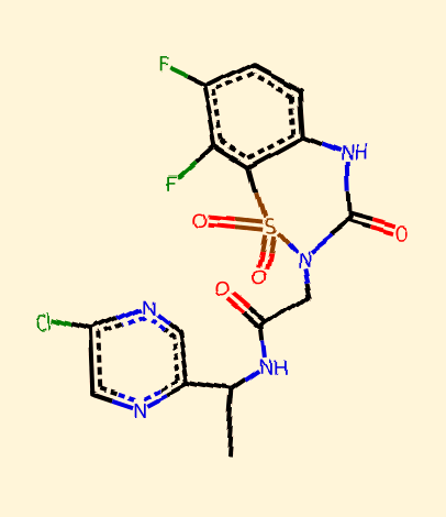 CC(NC(=O)CN1C(=O)Nc2ccc(F)c(F)c2S1(=O)=O)c1cnc(Cl)cn1